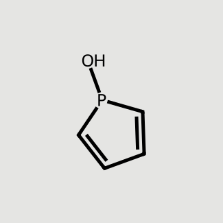 Op1cccc1